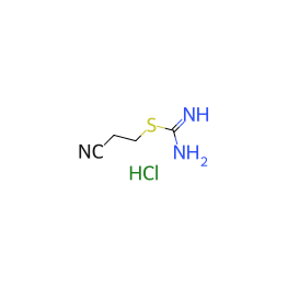 Cl.N#CCCSC(=N)N